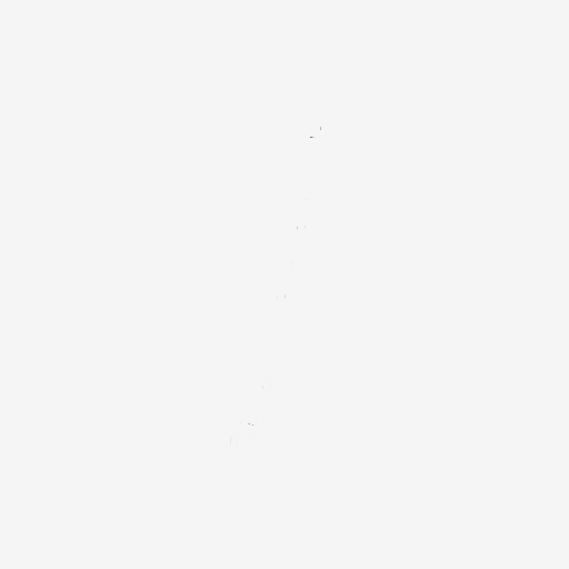 C=CC(=O)OCCOCCOOCCOOCCOOCCOOCCOOCCOOCCOOCCOC(=O)C=C